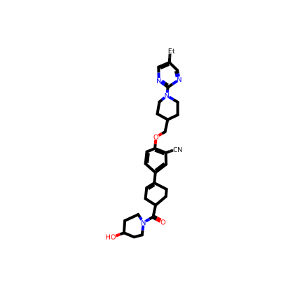 CCc1cnc(N2CCC(COc3ccc(C4=CCC(C(=O)N5CCC(O)CC5)CC4)cc3C#N)CC2)nc1